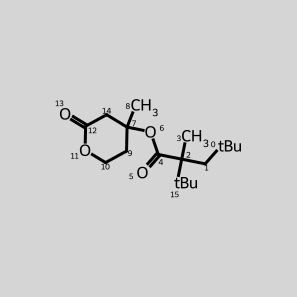 CC(C)(C)CC(C)(C(=O)OC1(C)CCOC(=O)C1)C(C)(C)C